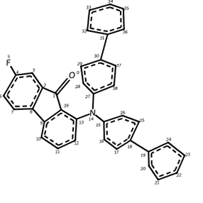 O=C1c2cc(F)ccc2-c2cccc(N(c3ccc(-c4ccccc4)cc3)c3ccc(-c4ccccc4)cc3)c21